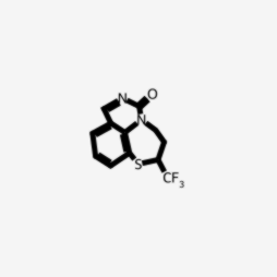 O=c1ncc2cccc3c2n1CCC(C(F)(F)F)S3